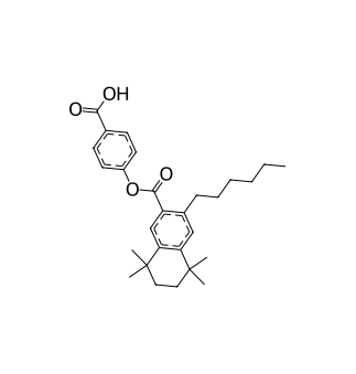 CCCCCCc1cc2c(cc1C(=O)Oc1ccc(C(=O)O)cc1)C(C)(C)CCC2(C)C